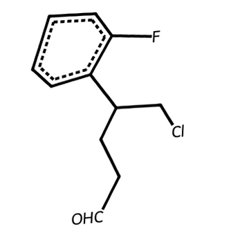 O=CCCC(CCl)c1ccccc1F